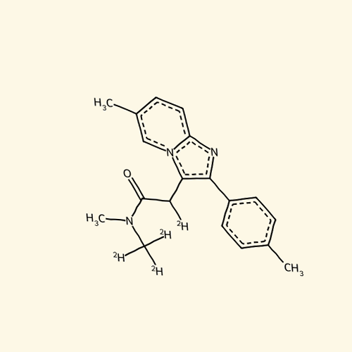 [2H]C(C(=O)N(C)C([2H])([2H])[2H])c1c(-c2ccc(C)cc2)nc2ccc(C)cn12